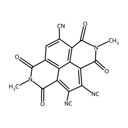 [C-]#[N+]c1c([N+]#[C-])c2c3c(c(C#N)cc4c3c1C(=O)N(C)C4=O)C(=O)N(C)C2=O